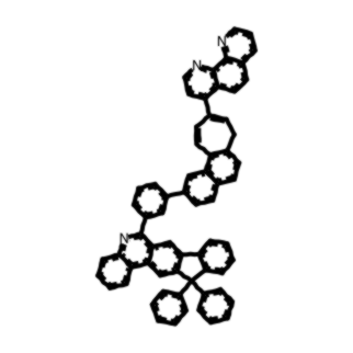 C1=Cc2c(ccc3ccc(-c4cccc(-c5nc6ccccc6c6cc7c(cc56)-c5ccccc5C7(c5ccccc5)c5ccccc5)c4)cc23)CC=C1c1ccnc2c1ccc1cccnc12